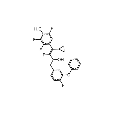 Cc1c(F)cc(/C(=C(\F)C(O)Cc2ccc(F)c(Oc3ccccc3)c2)C2CC2)c(F)c1F